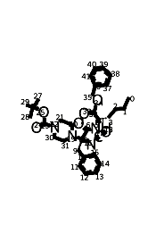 CCCC[C@H](NC(=O)[C@](Cc1ccccc1)(N=C=O)N1CCN(C(=O)OC(C)(C)C)CC1)C(=O)OCc1ccccc1